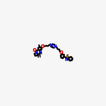 Cc1cc2c(cc1OCCCCN1CCN(CCCCOc3cccc(-c4nc5ccccc5s4)c3)CC1)N=C[C@@H]1CCCN1C2=O